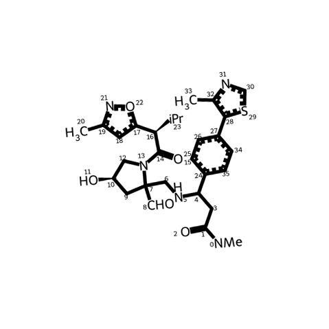 CNC(=O)CC(NCC1(C=O)C[C@@H](O)CN1C(=O)[C@@H](c1cc(C)no1)C(C)C)c1ccc(-c2scnc2C)cc1